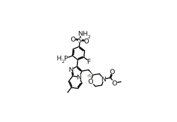 COC(=O)N1CCO[C@@H](Cc2c(-c3c(F)cc(S(N)(=O)=O)cc3P)nc3cc(C)ccn23)C1